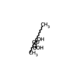 CCCCCCCCCC(O)CC(=O)OC(CCCCCC)CC(=O)O